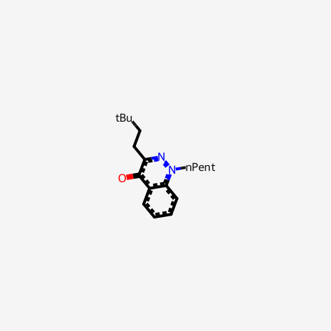 CCCCCn1nc(CCC(C)(C)C)c(=O)c2ccccc21